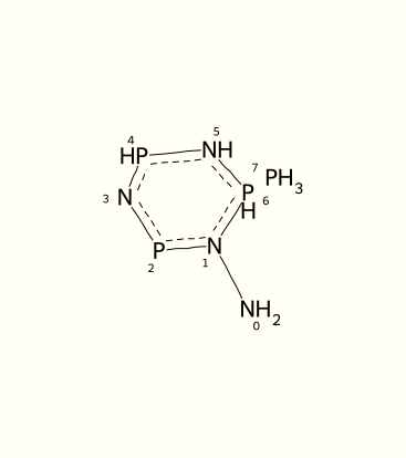 Nn1pn[pH][nH][pH]1.P